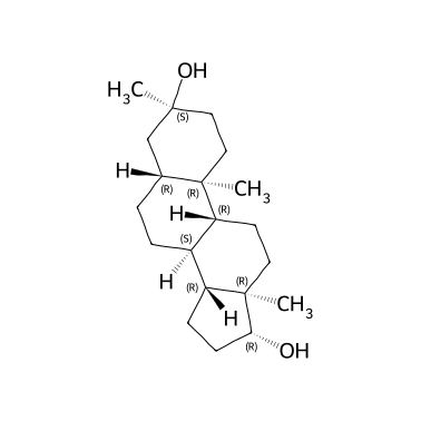 C[C@]1(O)CC[C@]2(C)[C@H](CC[C@@H]3[C@H]4CC[C@@H](O)[C@]4(C)CC[C@H]32)C1